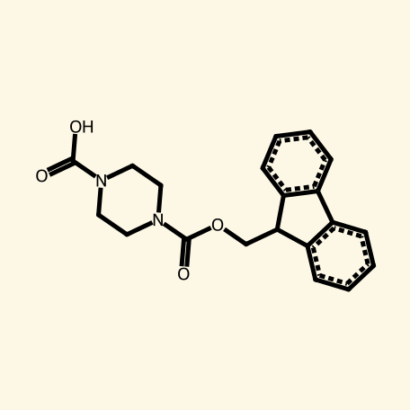 O=C(O)N1CCN(C(=O)OCC2c3ccccc3-c3ccccc32)CC1